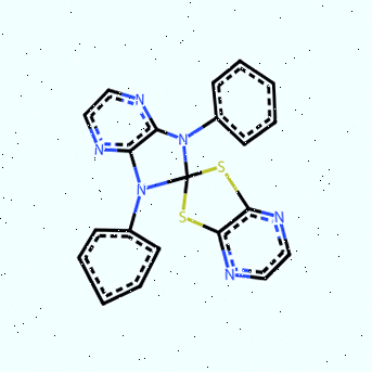 c1ccc(N2c3nccnc3N(c3ccccc3)C23Sc2nccnc2S3)cc1